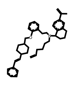 C=CCCCCN(CCc1ccccc1OCC1CCC(/C=C/c2ccccc2)CC1)C1CCCc2cc(C(=C)C)ccc21